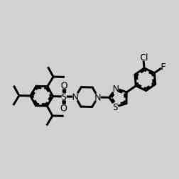 CC(C)c1cc(C(C)C)c(S(=O)(=O)N2CCN(c3nc(-c4ccc(F)c(Cl)c4)cs3)CC2)c(C(C)C)c1